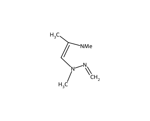 C=NN(C)/C=C(/C)NC